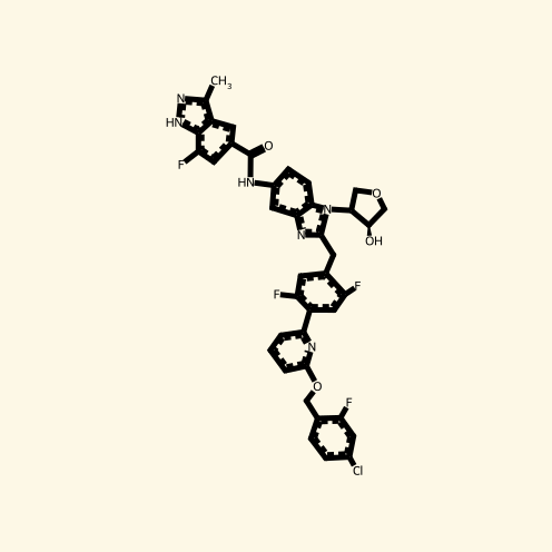 Cc1n[nH]c2c(F)cc(C(=O)Nc3ccc4c(c3)nc(Cc3cc(F)c(-c5cccc(OCc6ccc(Cl)cc6F)n5)cc3F)n4C3COC[C@H]3O)cc12